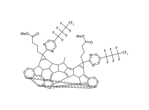 COC(=O)CCCC1(c2ncc(C(F)(F)C(F)(F)C(F)(F)C(F)(F)F)cn2)C2=C1C1=c3ccc4c5ccc6c7c8c9c%10c%11c%12c(c3c4c(c%129)c75)C1C1C2=C2C(=C%111)C1C=%10C3C(C4=C(C6C83)C4(CCCC(=O)OC)c3ncc(C(F)(F)C(F)(F)C(F)(F)C(F)(F)F)cn3)C1C2C